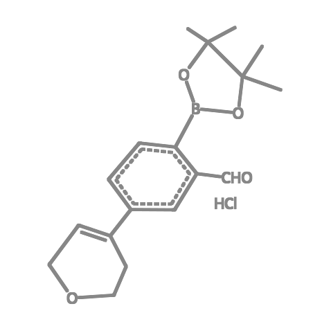 CC1(C)OB(c2ccc(C3=CCOCC3)cc2C=O)OC1(C)C.Cl